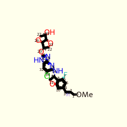 COC/C=C/c1cc(F)c2c(c1)OC[C@@H]2Nc1nc2nc(O[C@@H]3COC4C3OC[C@H]4O)[nH]c2cc1Cl